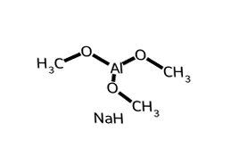 C[O][Al]([O]C)[O]C.[NaH]